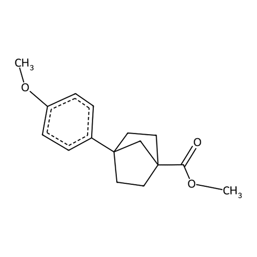 COC(=O)C12CCC(c3ccc(OC)cc3)(CC1)C2